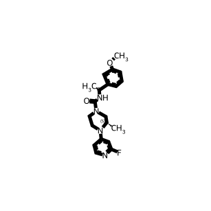 COc1cccc([C@@H](C)NC(=O)N2CCN(c3ccnc(F)c3)[C@@H](C)C2)c1